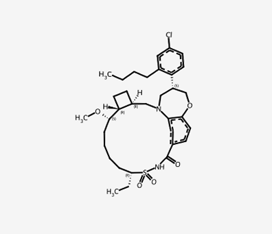 CCCCc1cc(Cl)ccc1[C@@H]1COc2ccc3cc2N(C1)C[C@@H]1CC[C@H]1[C@@H](OC)CCCC[C@@H](CC)S(=O)(=O)NC3=O